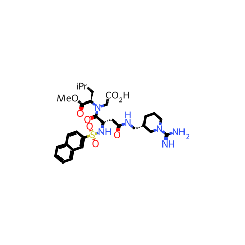 COC(=O)[C@@H](CC(C)C)N(CC(=O)O)C(=O)[C@H](CC(=O)NC[C@@H]1CCCN(C(=N)N)C1)NS(=O)(=O)c1ccc2ccccc2c1